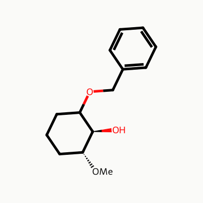 CO[C@@H]1CCCC(OCc2ccccc2)[C@H]1O